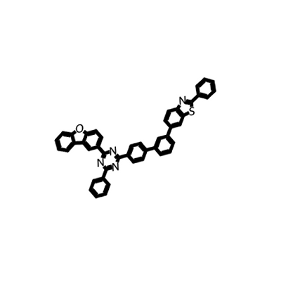 c1ccc(-c2nc(-c3ccc(-c4cccc(-c5ccc6nc(-c7ccccc7)sc6c5)c4)cc3)nc(-c3ccc4oc5ccccc5c4c3)n2)cc1